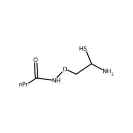 CCCC(=O)NOCC(N)S